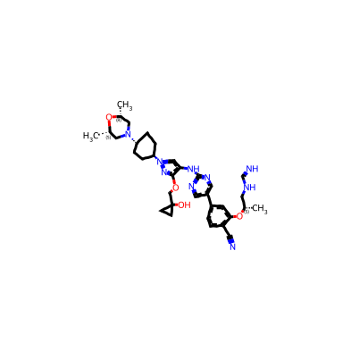 C[C@@H]1CN([C@H]2CC[C@H](n3cc(Nc4ncc(-c5ccc(C#N)c(O[C@@H](C)CNC=N)c5)cn4)c(OCC4(O)CC4)n3)CC2)C[C@H](C)O1